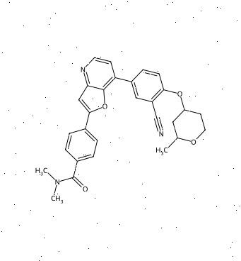 CC1CC(Oc2ccc(-c3ccnc4cc(-c5ccc(C(=O)N(C)C)cc5)oc34)cc2C#N)CCO1